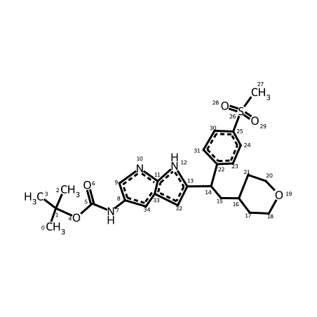 CC(C)(C)OC(=O)Nc1cnc2[nH]c(C(CC3CCOCC3)c3ccc(S(C)(=O)=O)cc3)cc2c1